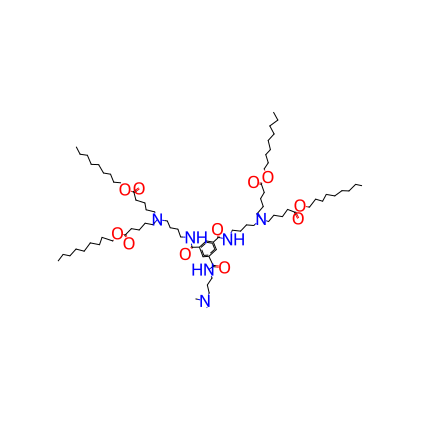 CCCCCCCCCOC(=O)CCCCN(CCCCNC(=O)c1cc(C(=O)NCCCCN(CCCCC(=O)OCCCCCCCCC)CCCCC(=O)OCCCCCCCCC)cc(C(=O)NCCCN(C)C)c1)CCCCC(=O)OCCCCCCCCC